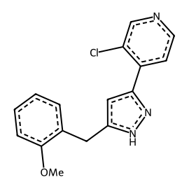 COc1ccccc1Cc1cc(-c2ccncc2Cl)n[nH]1